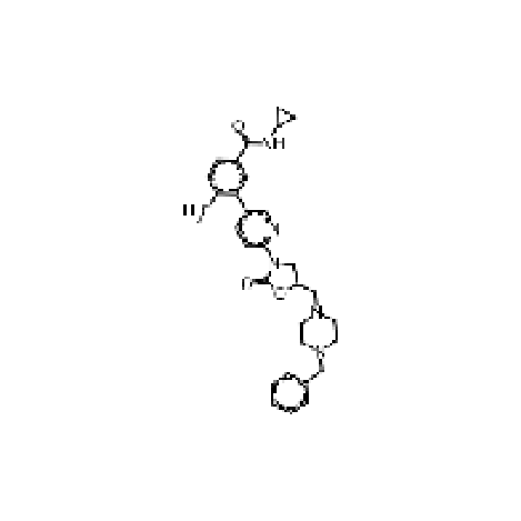 Cc1ccc(C(=O)NC2CC2)cc1-c1ccc(N2CC(CN3CCN(Cc4ccccc4)CC3)OC2=O)nc1